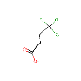 [O]C(=O)CCC(Cl)(Cl)Cl